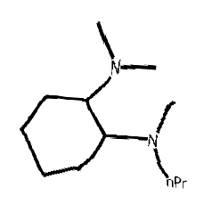 CCCN(C)C1CCCCC1N(C)C